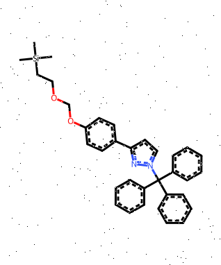 C[Si](C)(C)CCOCOc1ccc(-c2ccn(C(c3ccccc3)(c3ccccc3)c3ccccc3)n2)cc1